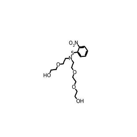 O=[N+]([O-])c1ccccc1SN(CCOCCO)CCOCCOCCO